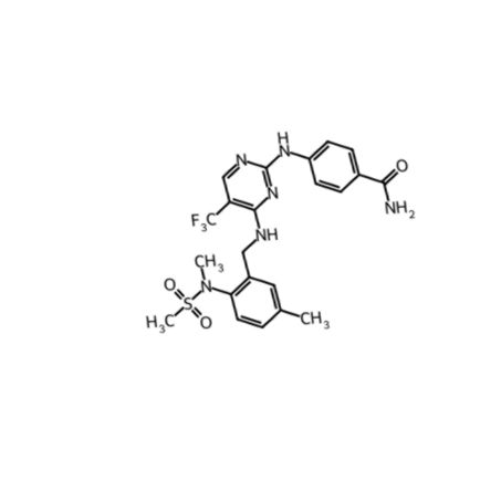 Cc1ccc(N(C)S(C)(=O)=O)c(CNc2nc(Nc3ccc(C(N)=O)cc3)ncc2C(F)(F)F)c1